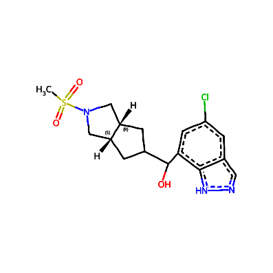 CS(=O)(=O)N1C[C@H]2CC(C(O)c3cc(Cl)cc4cn[nH]c34)C[C@H]2C1